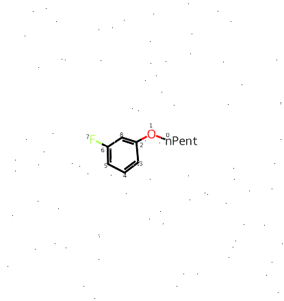 CCCCCOc1[c]ccc(F)c1